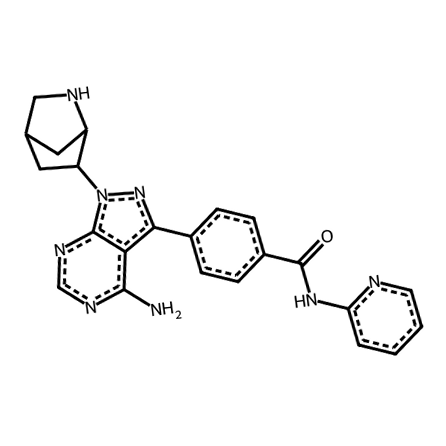 Nc1ncnc2c1c(-c1ccc(C(=O)Nc3ccccn3)cc1)nn2C1CC2CNC1C2